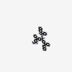 C=C/C(=C\C=C(/C)N(c1ccc(N(c2ccccc2)c2ccc(/C=C\C)c(C)c2)cc1)c1ccc(N(c2ccccc2)c2ccc3ccccc3c2)cc1)N(c1ccccc1)c1ccc2ccccc2c1